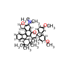 COc1ccc(C2(c3ccc(OC)cc3)C=Cc3c4c(c5c6c(c(N(C)C)cc5c3O2)OCC6)-c2ccccc2C42CC(C)(C)CC(C)(C)C2)cc1